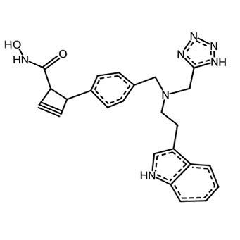 O=C(NO)C1C#CC1c1ccc(CN(CCc2c[nH]c3ccccc23)Cc2nnn[nH]2)cc1